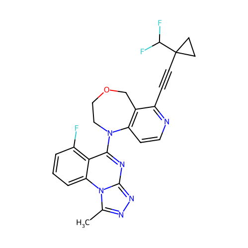 Cc1nnc2nc(N3CCOCc4c3ccnc4C#CC3(C(F)F)CC3)c3c(F)cccc3n12